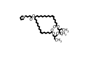 CCC(CC)COC(=O)CCCC/C=C\CCCCCCCCC(CCCCCCCC/C=C\CCCCC(=O)OCC(CC)CC)OC(=O)CCCN1CCCC1